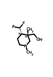 CN1CC[C@H](C(F)F)[C@](C)(CO)C1